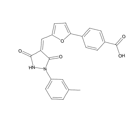 Cc1cccc(N2NC(=O)C(=Cc3ccc(-c4ccc(C(=O)O)cc4)o3)C2=O)c1